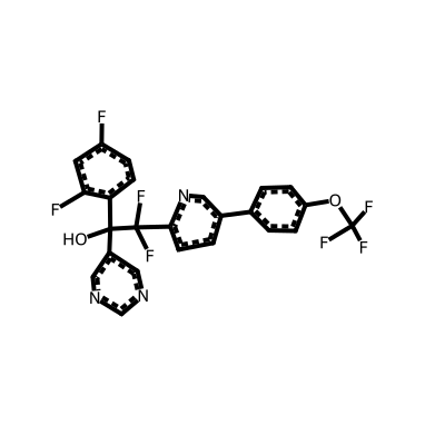 OC(c1cncnc1)(c1ccc(F)cc1F)C(F)(F)c1ccc(-c2ccc(OC(F)(F)F)cc2)cn1